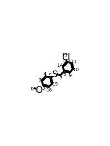 COc1ccc(SCc2cccc(Cl)c2)cc1